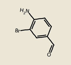 Nc1ccc(C=O)cc1Br